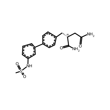 CS(=O)(=O)Nc1cccc(-c2ccc(C[C@H](CC(N)=O)C(N)=O)cc2)c1